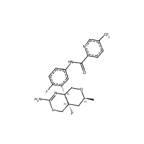 C[C@H]1C[C@@]2(F)CSC(N)=N[C@@]2(c2cc(NC(=O)c3ccc(C(F)(F)F)cn3)ccc2F)CO1